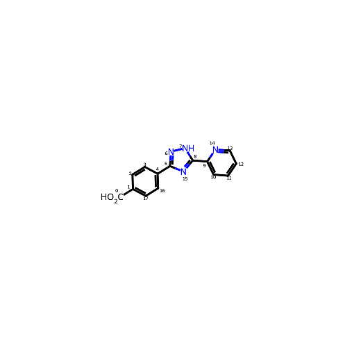 O=C(O)c1ccc(-c2n[nH]c(-c3ccccn3)n2)cc1